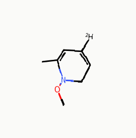 [2H]C1=CCN(OC)C(C)=C1